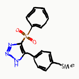 CSc1ccc(-c2[nH]nnc2S(=O)(=O)c2ccccc2)cc1